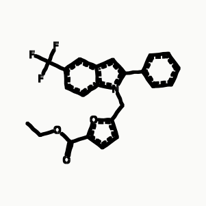 CCOC(=O)c1ccc(Cn2c(-c3ccccc3)cc3cc(C(F)(F)F)ccc32)o1